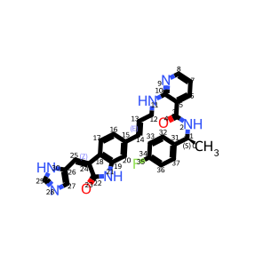 C[C@H](NC(=O)c1cccnc1NC/C=C/c1ccc2c(c1)NC(=O)/C2=C\c1cnc[nH]1)c1ccc(F)cc1